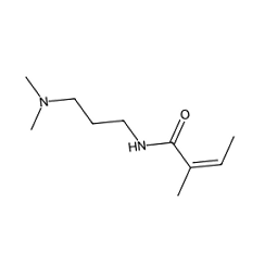 CC=C(C)C(=O)NCCCN(C)C